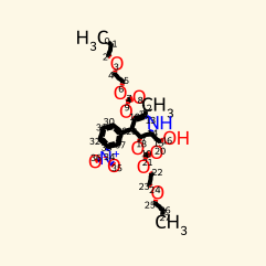 CCCOCCOC(=O)OC1=C(C)NC(CO)C(OC(=O)OCCOCCC)C1c1cccc([N+](=O)[O-])c1